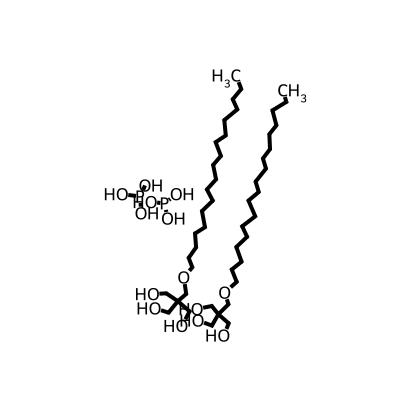 CCCCCCCCCCCCCCCCCCOCC(CO)(CO)CO.CCCCCCCCCCCCCCCCCCOCC(CO)(CO)CO.OP(O)O.OP(O)O